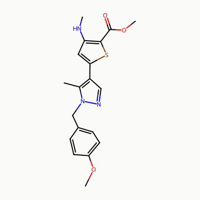 CNc1cc(-c2cnn(Cc3ccc(OC)cc3)c2C)sc1C(=O)OC